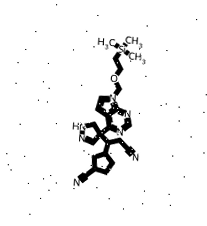 C[Si](C)(C)CCOCn1ccc2c(C3(C(CC#N)C4CCC(C#N)C4)C=NNC3)ncnc21